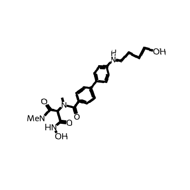 CNC(=O)C(C(=O)NO)N(C)C(=O)c1ccc(-c2ccc(NCCCCO)cc2)cc1